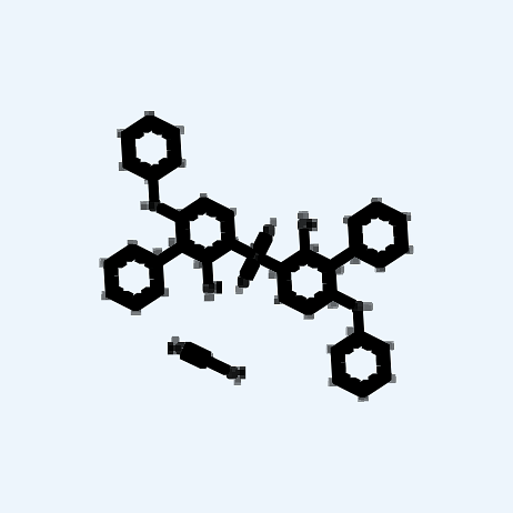 C#CO.O=S(=O)(c1ccc(Oc2ccccc2)c(-c2ccccc2)c1O)c1ccc(Oc2ccccc2)c(-c2ccccc2)c1O